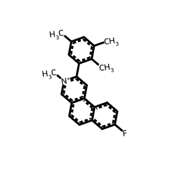 Cc1cc(C)c(C)c(-c2cc3c(ccc4cc(F)ccc43)c[n+]2C)c1